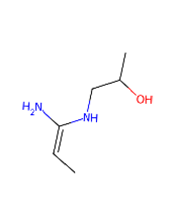 CC=C(N)NCC(C)O